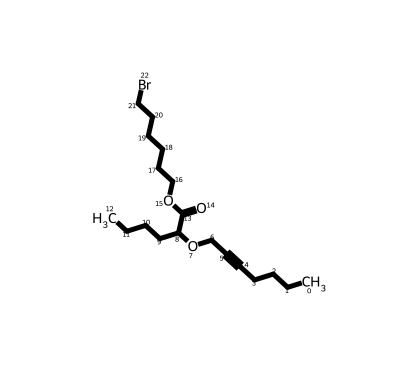 CCCCC#CCOC(CCCC)C(=O)OCCCCCCBr